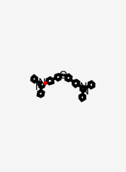 c1ccc(-c2cc(-c3ccc(-c4ccc(Oc5ccc(-c6ccc(-c7cc(-c8ccccc8)nc(-c8ccccc8)n7)cc6)cc5)cc4)cc3)nc(-c3ccccc3)n2)cc1